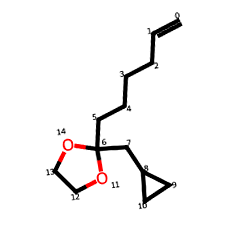 C=CCCCCC1(CC2CC2)OCCO1